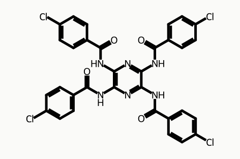 O=C(Nc1nc(NC(=O)c2ccc(Cl)cc2)c(NC(=O)c2ccc(Cl)cc2)nc1NC(=O)c1ccc(Cl)cc1)c1ccc(Cl)cc1